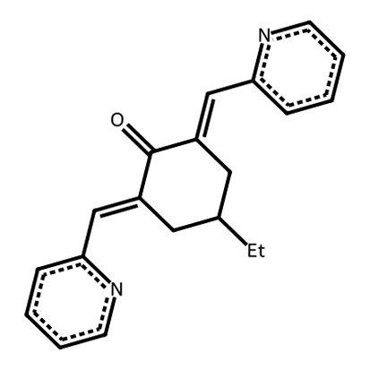 CCC1C/C(=C\c2ccccn2)C(=O)/C(=C/c2ccccn2)C1